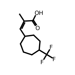 CC(=CC1CCCC(C(F)(F)F)CC1)C(=O)O